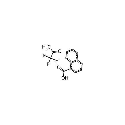 CC(=O)C(F)(F)F.O=C(O)c1cccc2ccccc12